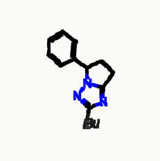 CCC(C)c1nc2n(n1)C(c1ccccc1)CC2